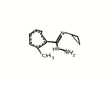 Cc1ccccc1C(=NC1CC1)NN